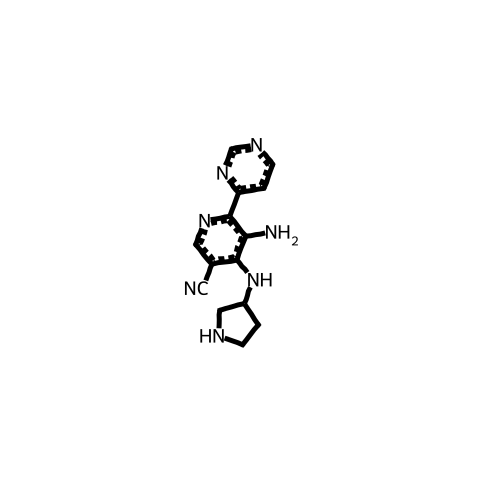 N#Cc1cnc(-c2ccncn2)c(N)c1NC1CCNC1